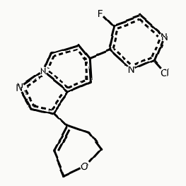 Fc1cnc(Cl)nc1-c1ccn2ncc(C3=CCOCC3)c2c1